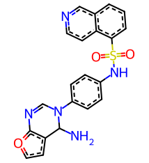 NC1c2ccoc2N=CN1c1ccc(NS(=O)(=O)c2cccc3cnccc23)cc1